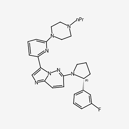 CCCN1CCN(c2cccc(-c3cnc4ccc(N5CCC[C@@H]5c5cccc(F)c5)nn34)n2)CC1